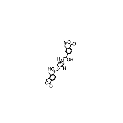 Cc1c([C@H](O)CN2C[C@H]3C[C@@H]2CN3CC(O)c2ccc3c(c2)C[C@@H](C)OC3=O)ccc2c1COC2=O